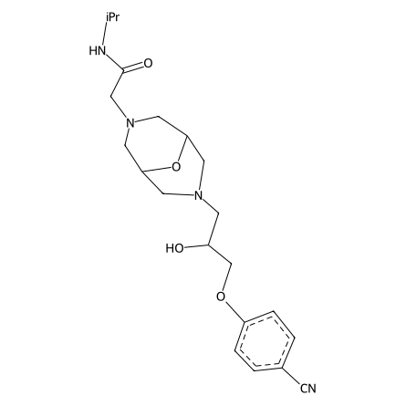 CC(C)NC(=O)CN1CC2CN(CC(O)COc3ccc(C#N)cc3)CC(C1)O2